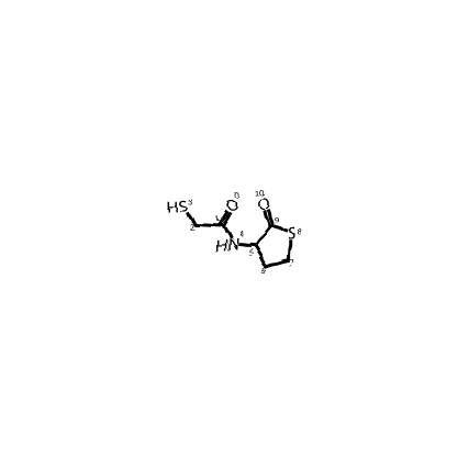 O=C(CS)NC1CCSC1=O